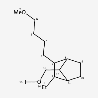 CCC1C(CCCCOC)C2CCC1C2COI